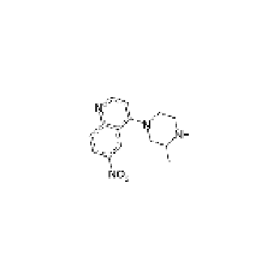 CC1CN(c2ccnc3ccc([N+](=O)[O-])cc23)CCN1